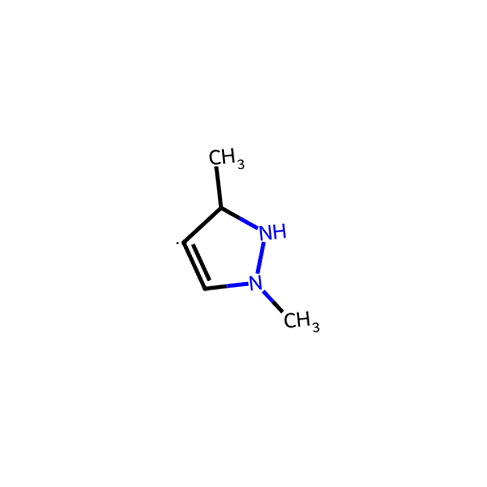 CC1[C]=CN(C)N1